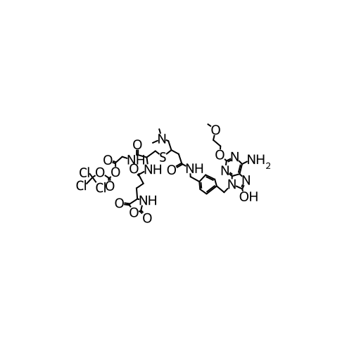 COCCOc1nc(N)c2nc(O)n(Cc3ccc(CNC(=O)CC(CN(C)C)SCC(NC(=O)CCC4NC(=O)OC4=O)C(=O)NCC(=O)OC(=O)OC(Cl)(Cl)Cl)cc3)c2n1